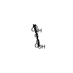 CC(C)(C)OC(=O)NCCOCCCOCC(=O)O